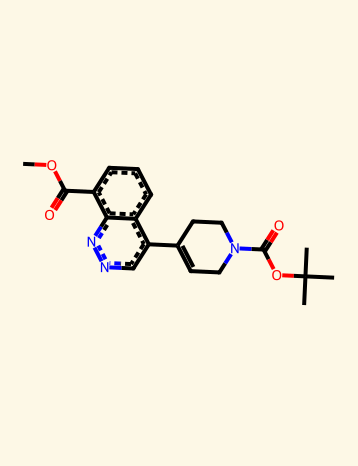 COC(=O)c1cccc2c(C3=CCN(C(=O)OC(C)(C)C)CC3)cnnc12